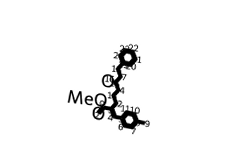 COC(=O)/C(=C/c1ccc(C)cc1)CCCC(=O)CCc1ccccc1